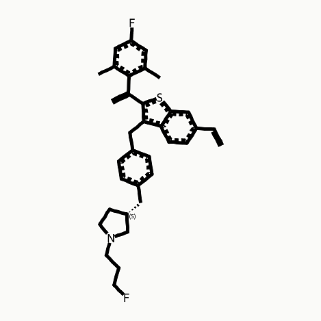 C=Cc1ccc2c(Cc3ccc(C[C@H]4CCN(CCCF)C4)cc3)c(C(=C)c3c(C)cc(F)cc3C)sc2c1